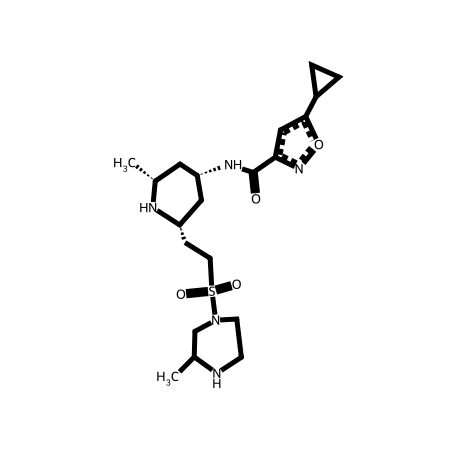 CC1CN(S(=O)(=O)CC[C@H]2C[C@@H](NC(=O)c3cc(C4CC4)on3)C[C@@H](C)N2)CCN1